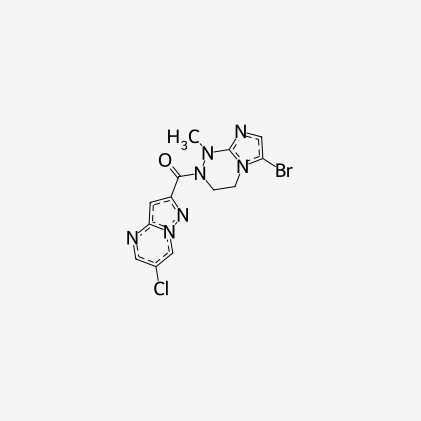 CN1c2ncc(Br)n2CCN1C(=O)c1cc2ncc(Cl)cn2n1